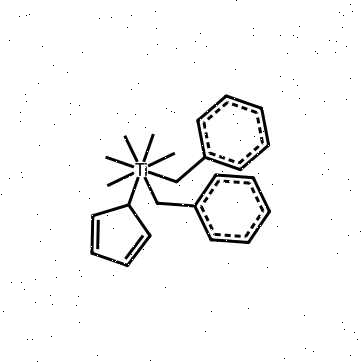 [CH3][Ti]([CH3])([CH3])([CH3])([CH3])([CH2]c1ccccc1)([CH2]c1ccccc1)[CH]1C=CC=C1